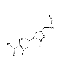 CC(=O)NCC1CN(c2ccc(C(=O)O)c(F)c2)C(=O)O1